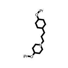 CC(C)OC1CCC(CCCN2CCC(OC(C)C)CC2)CC1